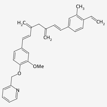 C=Cc1ccc(/C=C/C(=C)CC(=C)/C=C/c2ccc(OCc3ccccn3)c(OC)c2)cc1C